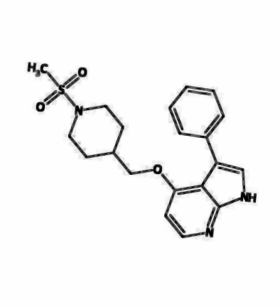 CS(=O)(=O)N1CCC(COc2ccnc3[nH]cc(-c4ccccc4)c23)CC1